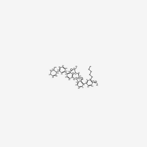 CCCCCc1cc(-c2cccc3c2O[C@H](CC2c4cccc(-c5cccc(C6C=CCCC6C)c5)c4OC2C)C3C)ccc1OC